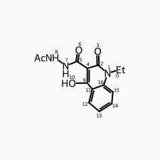 CCn1c(=O)c(C(=O)NNC(C)=O)c(O)c2ccccc21